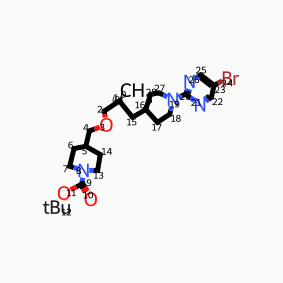 C[C@@H](COCC1CCN(C(=O)OC(C)(C)C)CC1)CC1CCN(c2ncc(Br)cn2)CC1